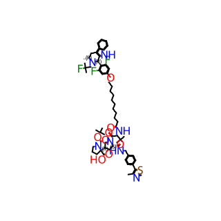 Cc1ncsc1-c1ccc(CNC(=O)[C@@H]2C[C@@H](C3(C(=O)O)CCCN3C(=O)OC(C)(C)C)CN2C(=O)C(NC(=O)CCCCCCCCCCOc2cc(F)c([C@@H]3c4[nH]c5ccccc5c4C[C@@H](C)N3CC(C)(C)F)c(F)c2)C(C)(C)C)cc1